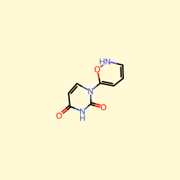 O=c1ccn(C2=CC=CNO2)c(=O)[nH]1